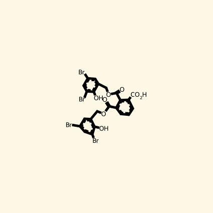 O=C(O)c1cccc(C(=O)OCc2cc(Br)cc(Br)c2O)c1C(=O)OCc1cc(Br)cc(Br)c1O